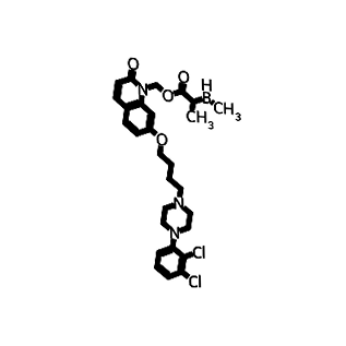 CBC(C)C(=O)OCn1c(=O)ccc2ccc(OCCCCN3CCN(c4cccc(Cl)c4Cl)CC3)cc21